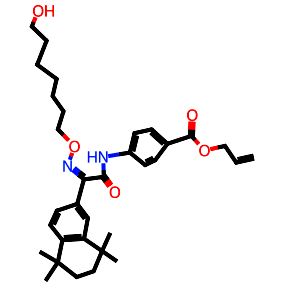 C=CCOC(=O)c1ccc(NC(=O)C(=NOCCCCCCCO)c2ccc3c(c2)C(C)(C)CCC3(C)C)cc1